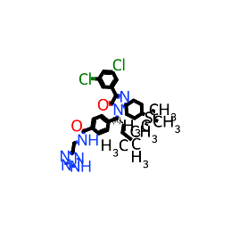 CC(C)(C)CC[C@H](c1ccc(C(=O)NCc2nn[nH]n2)cc1)N1C(=O)C(c2cc(Cl)cc(Cl)c2)=NC12CCC([Si](C)(C)C)CC2